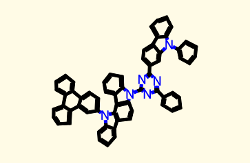 c1ccc(-c2nc(-c3ccc4c5ccccc5n(-c5ccccc5)c4c3)nc(-n3c4ccccc4c4c3ccc3c5ccccc5n(-c5ccc6c7ccccc7c7ccccc7c6c5)c34)n2)cc1